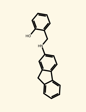 Oc1ccccc1CNc1ccc2c(c1)Cc1ccccc1-2